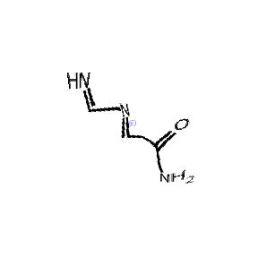 N=C/N=C/C(N)=O